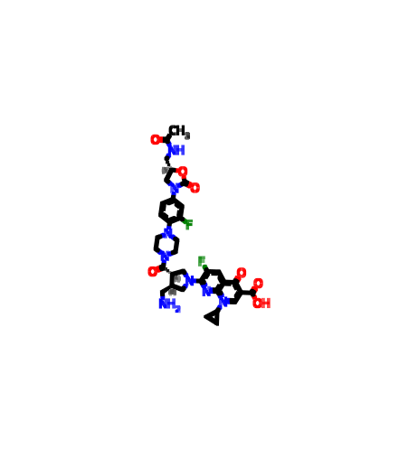 CC(=O)NC[C@H]1CN(c2ccc(N3CCN(C(=O)[C@@H]4CN(c5nc6c(cc5F)c(=O)c(C(=O)O)cn6C5CC5)C[C@H]4CN)CC3)c(F)c2)C(=O)O1